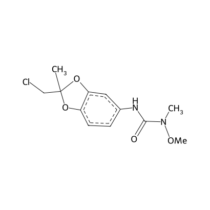 CON(C)C(=O)Nc1ccc2c(c1)OC(C)(CCl)O2